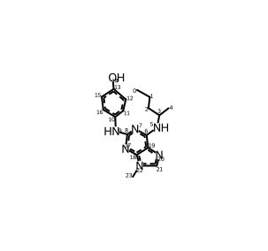 CCCC(C)Nc1nc(Nc2ccc(O)cc2)nc2c1ncn2C